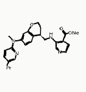 COC(=O)c1ccncc1NC[C@@H]1CCOc2cc(N(C)c3ccc(C(C)C)cn3)ccc21